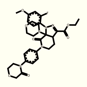 CCOC(=O)C1=NN(c2ccc(OC)cc2F)C2(N3CCOCC3)C(=O)N(c3ccc(N4CCOCC4=O)cc3)CCC12